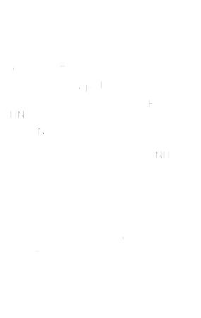 CC1(C)C(=O)NN=C1c1ccc(NC2=C(Cc3ccc(F)cc3)C(=O)CCC2)c(F)c1F